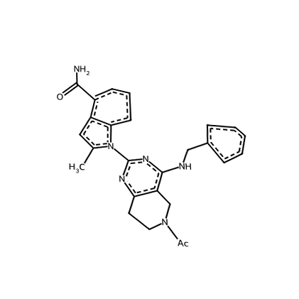 CC(=O)N1CCc2nc(-n3c(C)cc4c(C(N)=O)cccc43)nc(NCc3ccccc3)c2C1